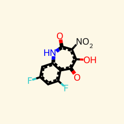 O=c1[nH]c2cc(F)cc(F)c2c(=O)c(O)c1[N+](=O)[O-]